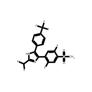 CS(=O)(=O)c1cc(F)c(-c2nc(C(F)F)[nH]c2-c2ccc(C(F)(F)F)cc2)cc1F